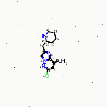 Cc1cc(Cl)nn2cc(C[C@@H]3CCCCN3)nc12